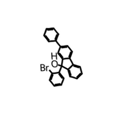 OC1(c2ccccc2Br)c2ccccc2-c2ccc(-c3ccccc3)cc21